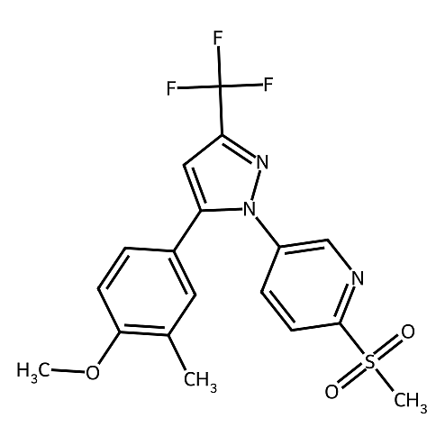 COc1ccc(-c2cc(C(F)(F)F)nn2-c2ccc(S(C)(=O)=O)nc2)cc1C